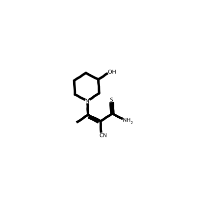 CC(=C(C#N)C(N)=S)N1CCCC(O)C1